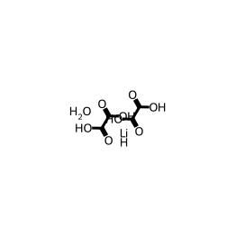 O.O=C(O)C(=O)O.O=C(O)C(=O)O.[LiH]